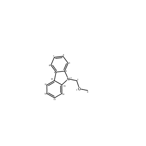 COCn1c2ccccc2c2ccccc21